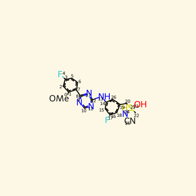 COc1cc(F)ccc1-c1ncnc(Nc2cc(F)cc(C[SH](C)(O)=NC#N)c2)n1